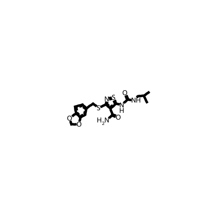 CC(C)CNC(=O)Nc1snc(SCc2ccc3c(c2)OCO3)c1C(N)=O